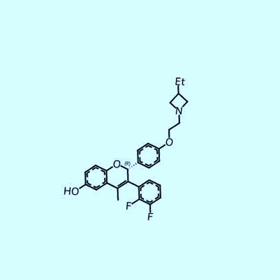 CCC1CN(CCOc2ccc([C@H]3Oc4ccc(O)cc4C(C)=C3c3cccc(F)c3F)cc2)C1